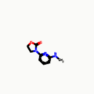 CNc1cccc(N2CCOC2=O)n1